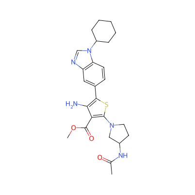 COC(=O)c1c(N2CCC(NC(C)=O)C2)sc(-c2ccc3c(c2)ncn3C2CCCCC2)c1N